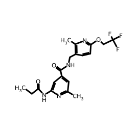 CCC(=O)Nc1cc(C(=O)NCc2ccc(OCC(F)(F)F)nc2C)cc(C)n1